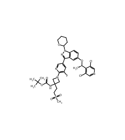 C[C@@H](Oc1ccc2c(c1)c(-c1cnc(N3CC(CCS(C)(=O)=O)(NC(=O)OC(C)(C)C)C3)c(F)c1)nn2C1CCCCO1)c1c(Cl)cncc1Cl